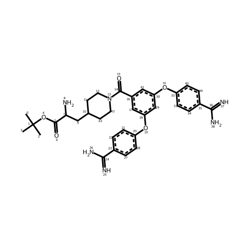 CC(C)(C)OC(=O)C(N)CC1CCN(C(=O)c2cc(Oc3ccc(C(=N)N)cc3)cc(Oc3ccc(C(=N)N)cc3)c2)CC1